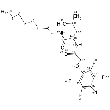 CCCCCCCCNC(=O)[C@H](CC(C)C)NC(=O)COc1c(F)c(F)c(I)c(F)c1F